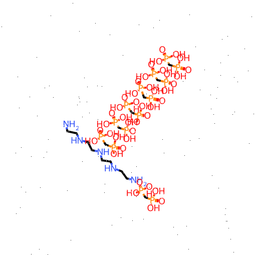 NCCNCCNCCNCCN.O=P(O)(O)CP(=O)(O)O.O=P(O)(O)CP(=O)(O)O.O=P(O)(O)CP(=O)(O)O.O=P(O)(O)CP(=O)(O)O.O=P(O)(O)CP(=O)(O)O.O=P(O)(O)CP(=O)(O)O.O=P(O)(O)CP(=O)(O)O